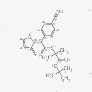 CC(C)(C)OC(=O)C(C)(C)Sc1ccc2ncsc2c1-c1ccc(C#N)cc1